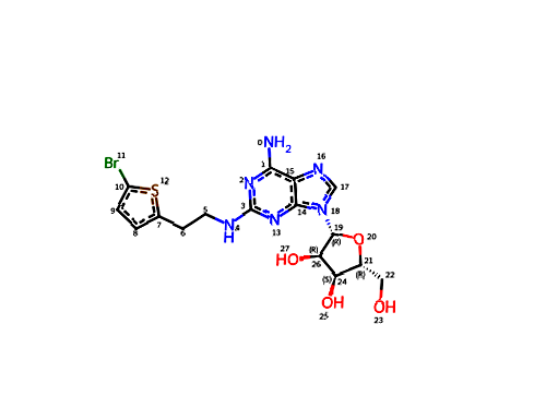 Nc1nc(NCCc2ccc(Br)s2)nc2c1ncn2[C@@H]1O[C@H](CO)[C@@H](O)[C@H]1O